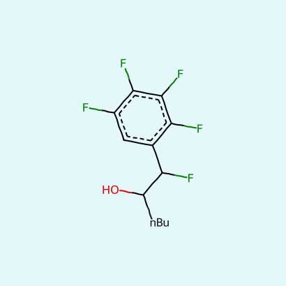 CCCCC(O)C(F)c1cc(F)c(F)c(F)c1F